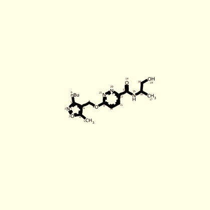 CCCCc1noc(C)c1COc1ccc(C(=O)NC(C)CO)nn1